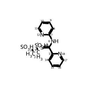 CS(=O)(=O)O.CS(=O)(=O)O.S=C(Nc1ccccn1)c1ccccn1